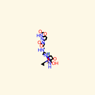 O=C1COc2ccc(N3C[C@H](CNC4CN(C5=C6C(F)=CC(=O)C7=C(O)NSC76CN(C6CC6)N5)C4)OC3=O)nc2N1